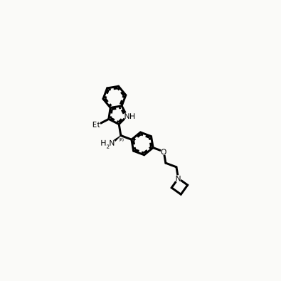 CCc1c([C@H](N)c2ccc(OCCN3CCC3)cc2)[nH]c2ccccc12